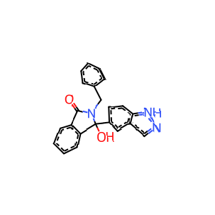 O=C1c2ccccc2C(O)(c2ccc3[nH]ncc3c2)N1Cc1ccccc1